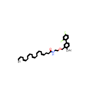 CC/C=C\C/C=C\C/C=C\C/C=C\C/C=C\C/C=C\CCC(=O)NCCOCc1cc(-c2ccc(F)cc2F)ccc1OC(C)=O